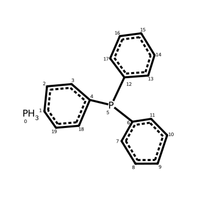 P.c1ccc(P(c2ccccc2)c2ccccc2)cc1